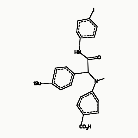 CN(c1ccc(C(=O)O)cc1)C(C(=O)Nc1ccc(I)cc1)c1ccc(C(C)(C)C)cc1